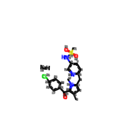 Cc1cc(Cc2ccc(NS(C)(=O)=O)cn2)n(C)c1C(=O)c1ccc(Cl)cc1.[NaH]